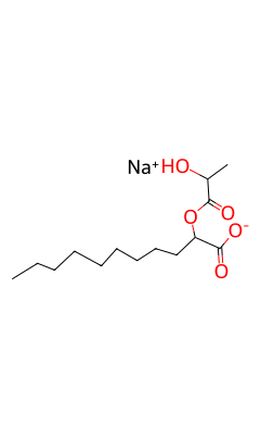 CCCCCCCCCC(OC(=O)C(C)O)C(=O)[O-].[Na+]